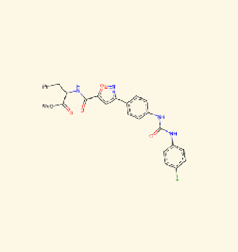 COC(=O)C(CC(C)C)NC(=O)c1cc(-c2ccc(NC(=O)Nc3ccc(F)cc3)cc2)no1